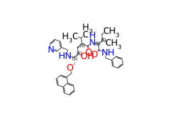 CC[C@H](C)[C@H](NC(=O)[C@@H](C[C@H](O)[C@H](COCc1cccc2ccccc12)NCc1cccnc1)C(C)C)C(=O)NCc1ccccc1